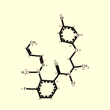 C/C=C\C=N/N(C)c1c(F)cccc1C(=O)N(CC)C(C)COc1ccc(Br)cn1